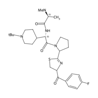 CN[C@@H](C)C(=O)N[C@H](C(=O)N1CCCC1C1=NC(C(=O)c2ccc(F)cc2)CS1)C1CCN(C(C)(C)C)CC1